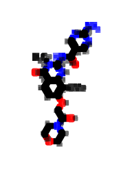 COc1c(OCC(=O)N2CCOCC2)ccc2c(=O)n(C)c(NC(=O)c3cnc(N)nc3)nc12